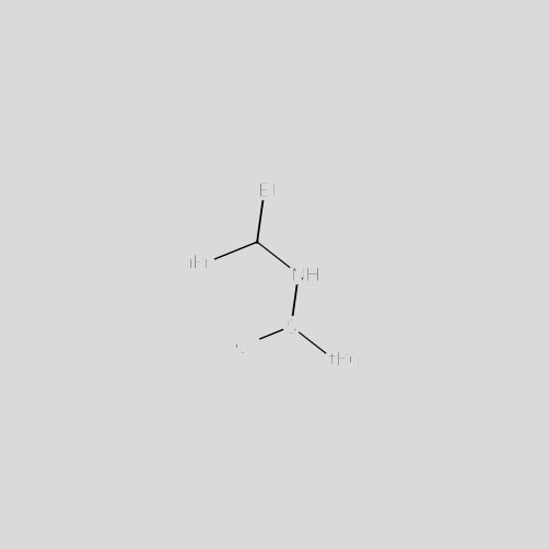 CCC(N[S+]([O-])C(C)(C)C)C(C)C